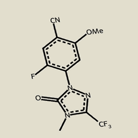 COc1cc(-n2nc(C(F)(F)F)n(C)c2=O)c(F)cc1C#N